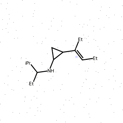 CC/C=C(\CC)C1CC1NC(CC)C(C)C